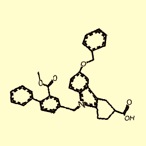 COC(=O)c1cc(Cn2c3c(c4cc(OCc5ccccc5)ccc42)CC(C(=O)O)CC3)ccc1-c1ccccc1